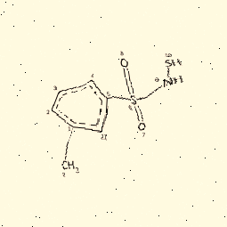 Cc1cccc(S(=O)(=O)NS)c1